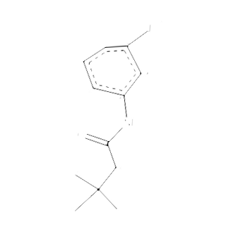 CC(C)(C)CC(=O)Nc1cccc(F)c1